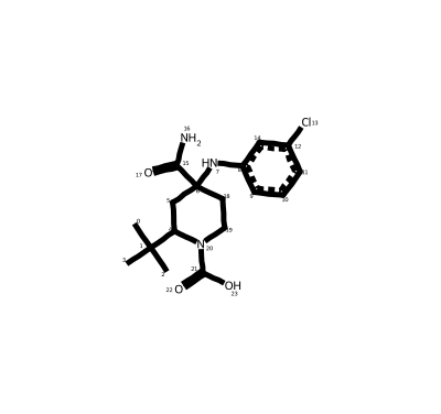 CC(C)(C)C1CC(Nc2cccc(Cl)c2)(C(N)=O)CCN1C(=O)O